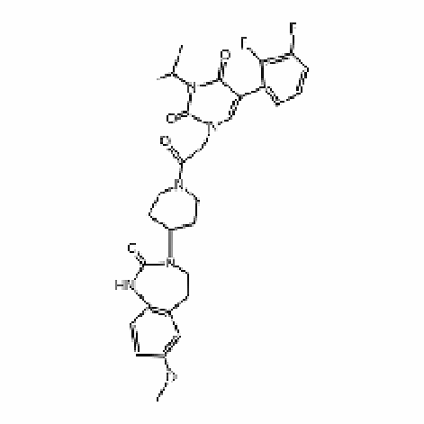 COc1ccc2c(c1)CCN(C1CCN(C(=O)Cn3cc(-c4cccc(F)c4F)c(=O)n(C(C)C)c3=O)CC1)C(=O)N2